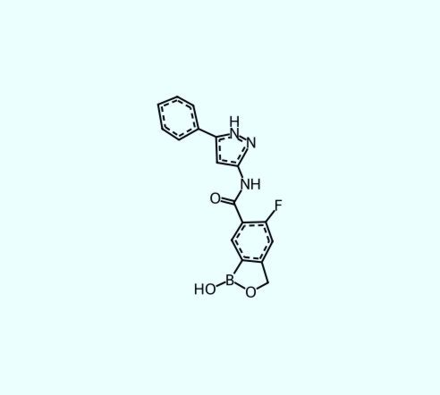 O=C(Nc1cc(-c2ccccc2)[nH]n1)c1cc2c(cc1F)COB2O